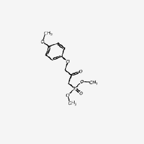 COc1ccc(OCC(=O)CP(=O)(OC)OC)cc1